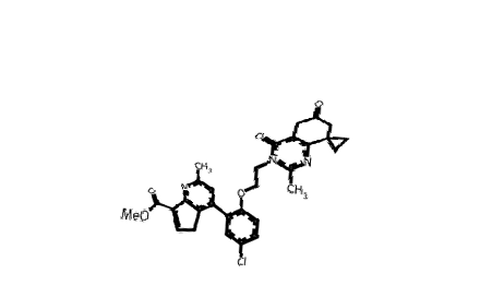 COC(=O)C1=CCc2c(-c3cc(Cl)ccc3OCCn3c(C)nc4c(c3=O)CC(=O)CC43CC3)cc(C)nc21